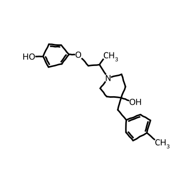 Cc1ccc(CC2(O)CCN(C(C)COc3ccc(O)cc3)CC2)cc1